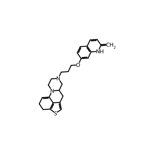 C=C1C=Cc2ccc(OCCCN3CCN4C5=CCCc6scc(c65)CC4C3)cc2N1